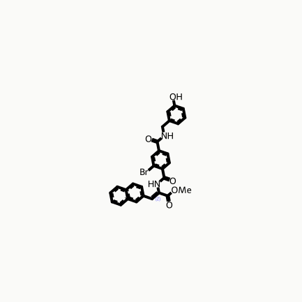 COC(=O)/C(=C/c1ccc2ccccc2c1)NC(=O)c1ccc(C(=O)NCc2cccc(O)c2)cc1Br